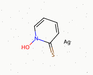 On1ccccc1=S.[Ag]